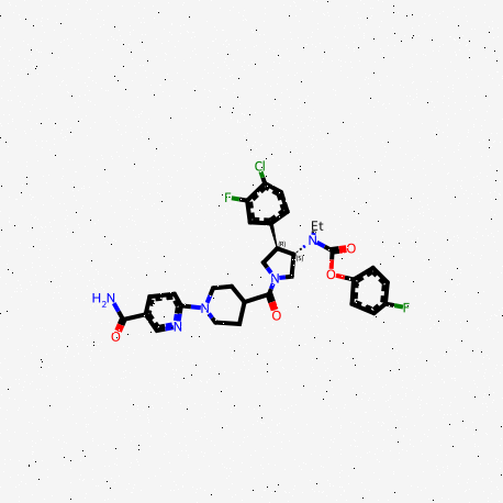 CCN(C(=O)Oc1ccc(F)cc1)[C@@H]1CN(C(=O)C2CCN(c3ccc(C(N)=O)cn3)CC2)C[C@H]1c1ccc(Cl)c(F)c1